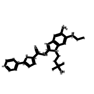 CCNc1cc2c(cc1N)nc(NC(=O)c1ccc(-c3ccncc3)s1)n2CCC(C)(C)O